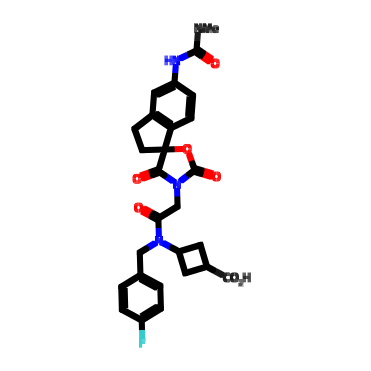 CNC(=O)Nc1ccc2c(c1)CCC21OC(=O)N(CC(=O)N(Cc2ccc(F)cc2)C2CC(C(=O)O)C2)C1=O